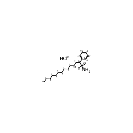 CCCCCCCCCCCCC(c1ccccc1)C(C)(C)N.Cl